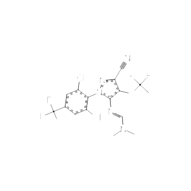 CN(C)C=Nc1c(SC(C)(F)F)c(C#N)nn1-c1c(Cl)cc(C(F)(F)F)cc1Cl